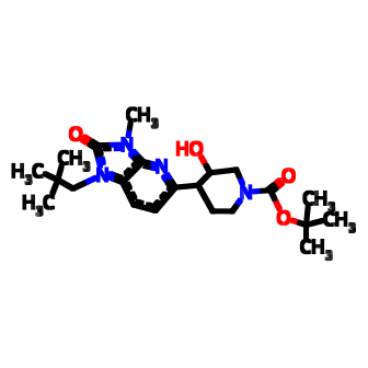 Cn1c(=O)n(CC(C)(C)C)c2ccc(C3CCN(C(=O)OC(C)(C)C)CC3O)nc21